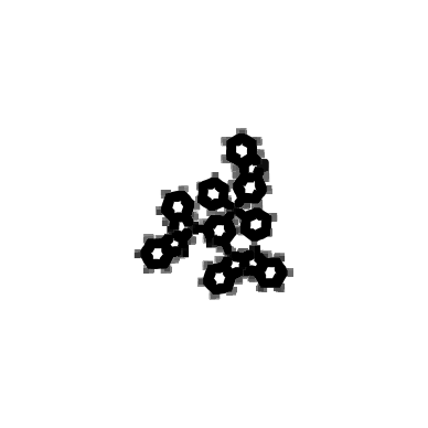 c1ccc(S(c2ccccc2)(c2cc(-n3c4ccccc4n4c5ccccc5nc34)nc(-n3c4ccccc4n4c5ccccc5nc34)c2)c2ccc3oc4ccccc4c3c2)cc1